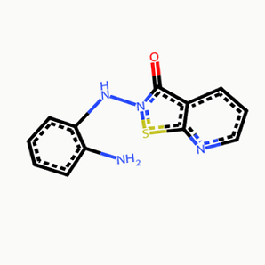 Nc1ccccc1Nn1sc2ncccc2c1=O